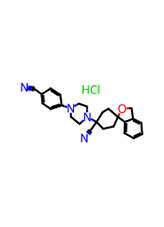 Cl.N#Cc1ccc(N2CCN(C3(C#N)CCC4(CC3)OCc3ccccc34)CC2)cc1